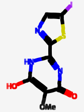 COc1c(O)[nH]c(-c2ncc(I)s2)nc1=O